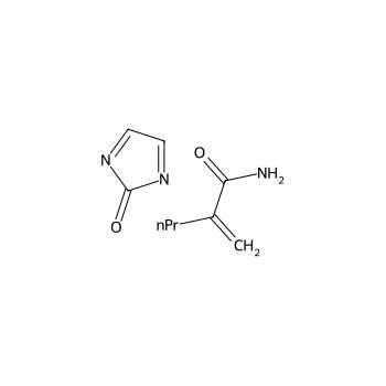 C=C(CCC)C(N)=O.O=C1N=CC=N1